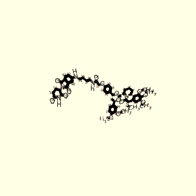 CC[C@H](C(=O)N1CCCC[C@H]1C(=O)O[C@H](CCc1ccc(OC)c(OC)c1)c1ccc(OCC(=O)NCCCCNc2ccc3c(c2)C(=O)N(C2CCC(=O)NC2=O)C3=O)cc1)c1cc(OC)c(OC)c(OC)c1